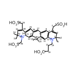 CC1(C)C=C(CS(=O)(=O)O)c2cc3c(cc2N1CCCC(=O)O)[Si](C)(C)c1cc2c(cc1=C3)C(CS(=O)(=O)O)=CC(C)(C)[N+]=2CS(=O)(=O)O